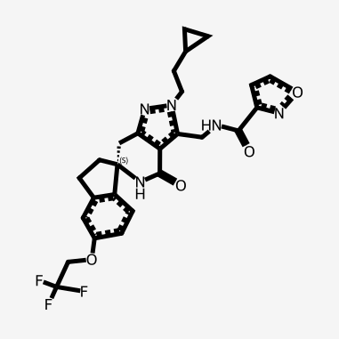 O=C(NCc1c2c(nn1CCC1CC1)C[C@]1(CCc3cc(OCC(F)(F)F)ccc31)NC2=O)c1ccon1